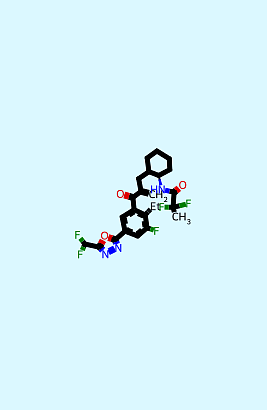 C=C(CC1CCCC[C@H]1NC(=O)C(C)(F)F)C(=O)c1cc(-c2nnc(C(F)F)o2)cc(F)c1CC